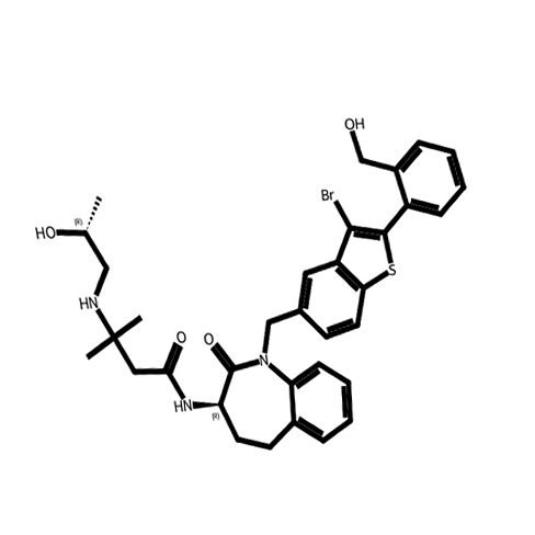 C[C@@H](O)CNC(C)(C)CC(=O)N[C@@H]1CCc2ccccc2N(Cc2ccc3sc(-c4ccccc4CO)c(Br)c3c2)C1=O